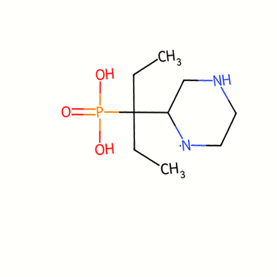 CCC(CC)(C1CNCC[N]1)P(=O)(O)O